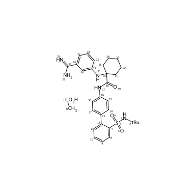 CC(=O)O.CC(C)(C)NS(=O)(=O)c1ccccc1-c1ccc(NC(=O)C2(Nc3cccc(C(=N)N)c3)CCCCC2)cc1